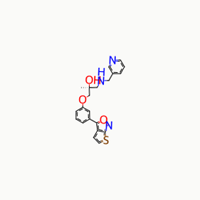 C[C@](O)(CNCc1cccnc1)COc1cccc(-c2onc3sccc23)c1